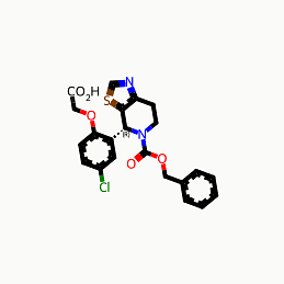 O=C(O)COc1ccc(Cl)cc1[C@@H]1c2scnc2CCN1C(=O)OCc1ccccc1